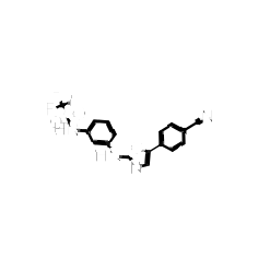 N#Cc1ccc(-c2cnc(Nc3cccc(NS(=O)(=O)C(F)(F)F)c3)o2)cc1